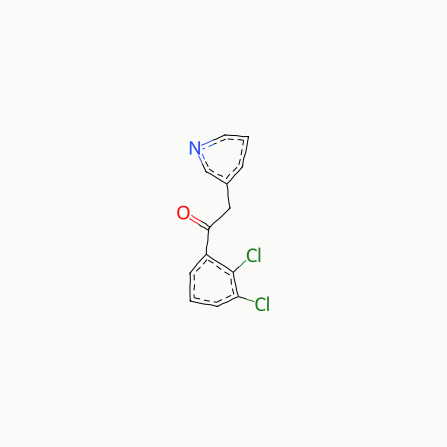 O=C(Cc1cccnc1)c1cccc(Cl)c1Cl